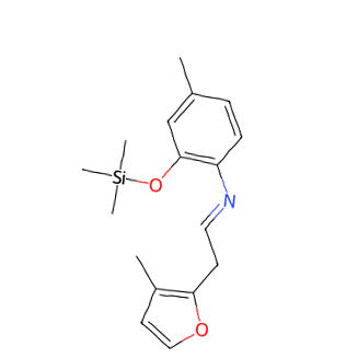 Cc1ccc(N=CCc2occc2C)c(O[Si](C)(C)C)c1